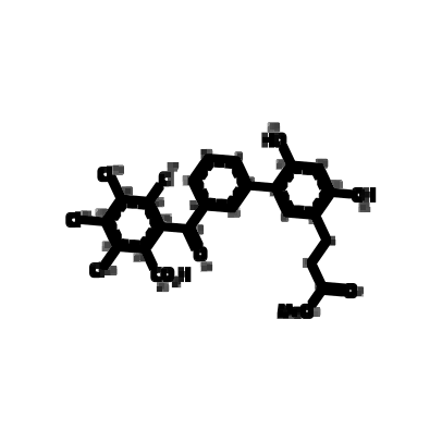 COC(=O)CCc1cc(-c2cccc(C(=O)c3c(Cl)c(Cl)c(Cl)c(Cl)c3C(=O)O)c2)c(O)cc1O